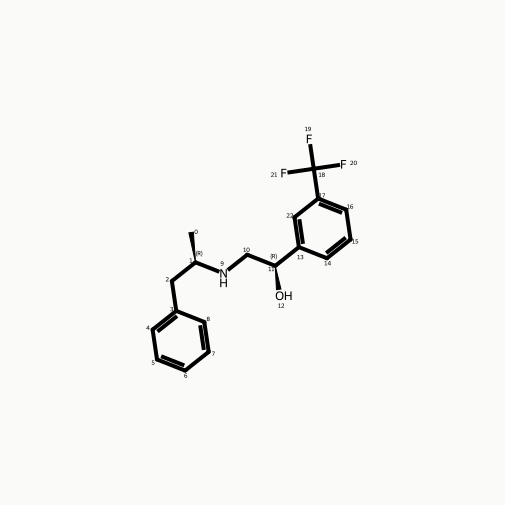 C[C@H](Cc1ccccc1)NC[C@H](O)c1cccc(C(F)(F)F)c1